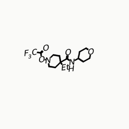 CCC1(C(=O)NC2CCOCC2)CCN(OC(=O)C(F)(F)F)CC1